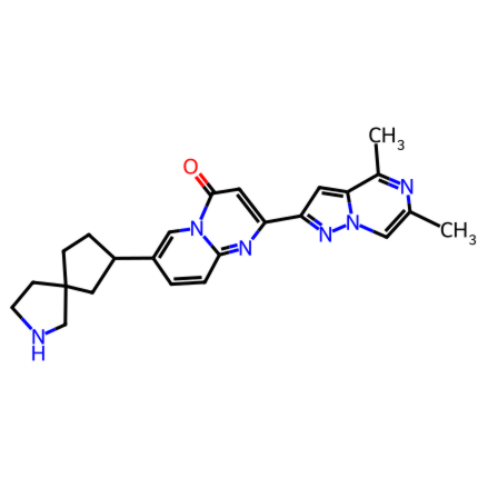 Cc1cn2nc(-c3cc(=O)n4cc(C5CCC6(CCNC6)C5)ccc4n3)cc2c(C)n1